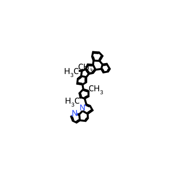 Cc1cc(-c2ccc3ccc4cccnc4c3n2)c(C)cc1-c1ccc2c(c1)-c1cc3c4ccccc4c4ccccc4c3cc1C2(C)C